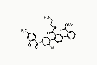 CCC1CN(C(=O)c2ccc(C(F)(F)F)cc2Cl)CCN1c1ccc(-c2ccccc2C(=O)OC)cc1C(=O)NCCN